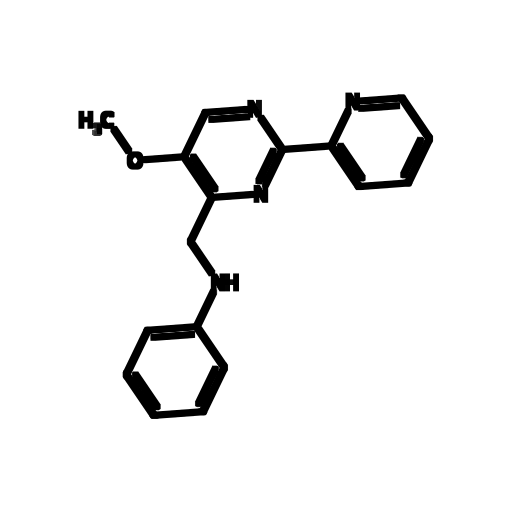 COc1cnc(-c2ccccn2)nc1CNc1ccccc1